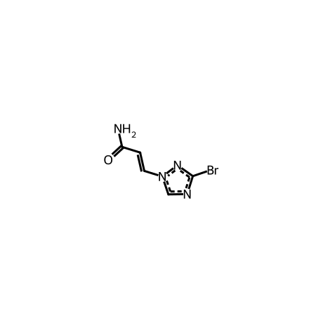 NC(=O)C=Cn1cnc(Br)n1